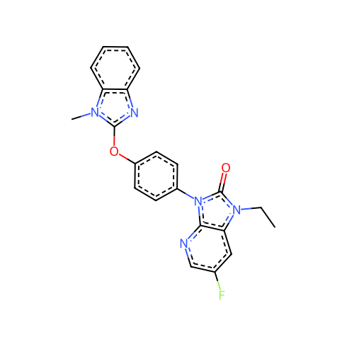 CCn1c(=O)n(-c2ccc(Oc3nc4ccccc4n3C)cc2)c2ncc(F)cc21